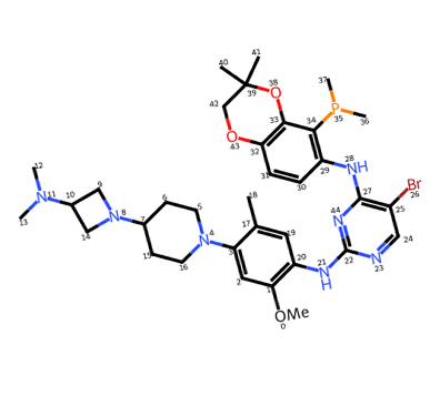 COc1cc(N2CCC(N3CC(N(C)C)C3)CC2)c(C)cc1Nc1ncc(Br)c(Nc2ccc3c(c2P(C)C)OC(C)(C)CO3)n1